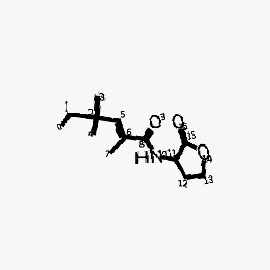 CCC(C)(C)/C=C(\C)C(=O)NC1CCOC1=O